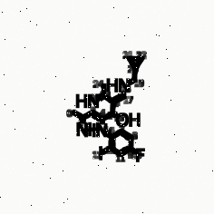 CC(=N)/C=C(\Nc1ccc(F)cc1I)C(O)/C(=C/NCC1CC1)C(C)=N